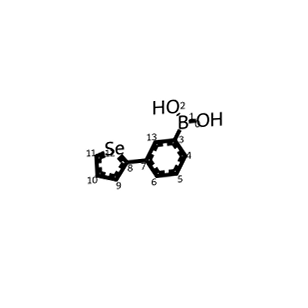 OB(O)c1cccc(-c2ccc[se]2)c1